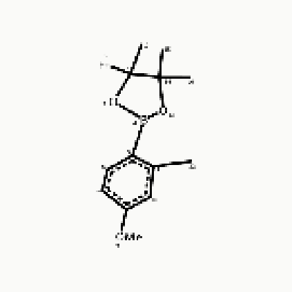 CCC1(C)OB(c2ccc(OC)cc2C)OC1(C)C